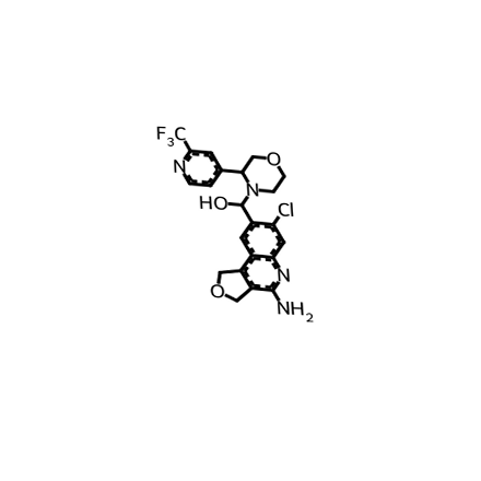 Nc1nc2cc(Cl)c(C(O)N3CCOCC3c3ccnc(C(F)(F)F)c3)cc2c2c1COC2